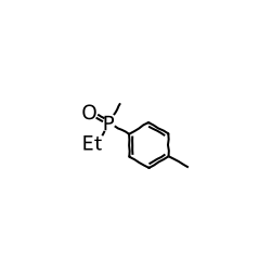 CCP(C)(=O)c1ccc(C)cc1